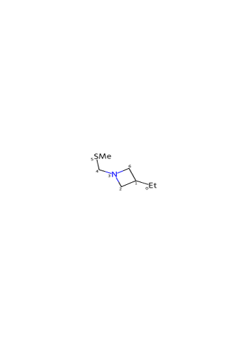 CCC1CN(CSC)C1